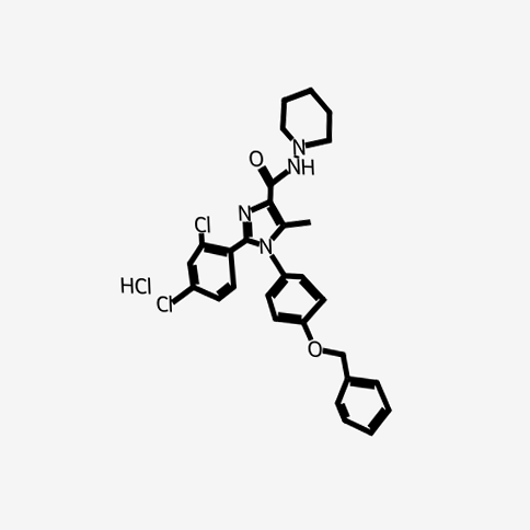 Cc1c(C(=O)NN2CCCCC2)nc(-c2ccc(Cl)cc2Cl)n1-c1ccc(OCc2ccccc2)cc1.Cl